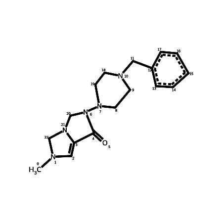 CN1C=C2C(=O)N(N3CCN(Cc4ccccc4)CC3)CN2C1